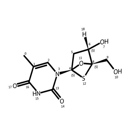 Cc1cn([C@@]23C[C@H](O)[C@@](CO)(O2)S3)c(=O)[nH]c1=O